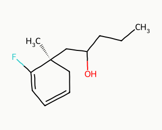 CCCC(O)C[C@@]1(C)CC=CC=C1F